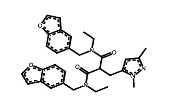 CCN(Cc1ccc2occc2c1)C(=O)C(Cc1cc(C)nn1C)C(=O)N(CC)Cc1ccc2occc2c1